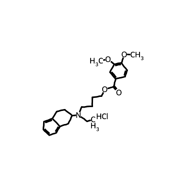 CCN(CCCCOC(=O)c1ccc(OC)c(OC)c1)C1CCc2ccccc2C1.Cl